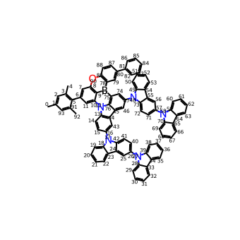 Cc1cc(C)c(-c2cc3c4c(c2)-n2c5ccc(-n6c7ccccc7c7cc(-n8c9ccccc9c9ccccc98)ccc76)cc5c5cc(-n6c7ccccc7c7cc(-n8c9ccccc9c9ccccc98)ccc76)cc(c52)B4c2cc(-c4ccccc4)ccc2O3)c(C)c1